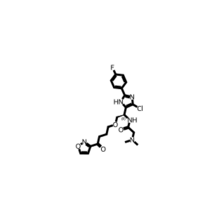 CN(C)CC(=O)N[C@@H](COCCCC(=O)c1ccon1)c1[nH]c(-c2ccc(F)cc2)nc1Cl